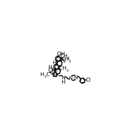 C=C(C)[C@@H]1CC[C@]2(CCNCCN3CCN(Cc4cccc(Cl)c4)CC3)CC[C@]3(C)[C@H](CC[C@@H]4[C@@]5(C)CC[C@H](O)C(C)(C)[C@@H]5CC[C@]43C)[C@@H]12